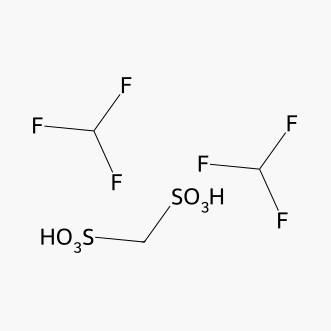 FC(F)F.FC(F)F.O=S(=O)(O)CS(=O)(=O)O